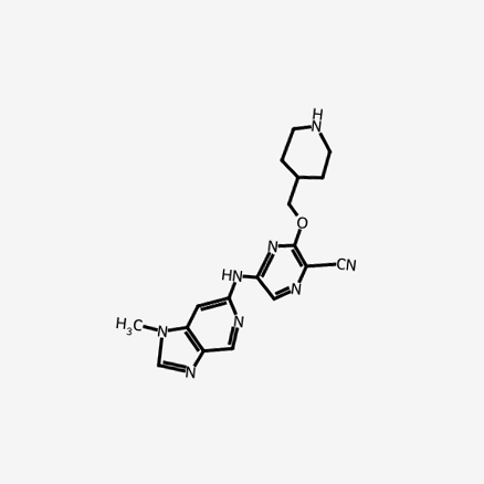 Cn1cnc2cnc(Nc3cnc(C#N)c(OCC4CCNCC4)n3)cc21